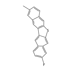 Cc1ccc2cc3sc4cc5cc(F)ccc5cc4c3cc2c1